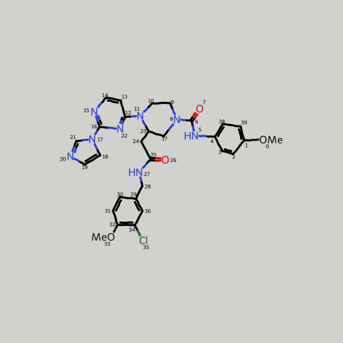 COc1ccc(NC(=O)N2CCN(c3ccnc(-n4ccnc4)n3)C(CC(=O)NCc3ccc(OC)c(Cl)c3)C2)cc1